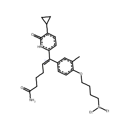 CCN(CC)CCCCOc1ccc(/C(=C\CCCC(N)=O)c2ccc(C3CC3)c(=O)[nH]2)cc1C